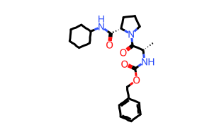 C[C@H](NC(=O)OCc1ccccc1)C(=O)N1CCC[C@H]1C(=O)NC1CCCCC1